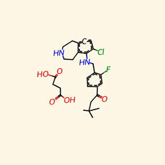 CC(C)(C)CC(=O)c1ccc(CNc2c(Cl)ccc3c2CCNCC3)c(F)c1.O=C(O)CCC(=O)O